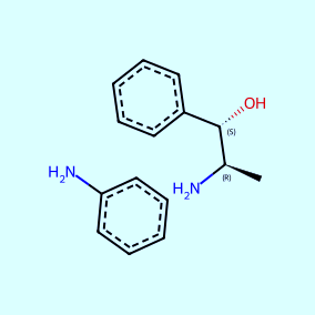 C[C@@H](N)[C@@H](O)c1ccccc1.Nc1ccccc1